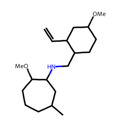 C=CC1CC(OC)CCC1CNC1CC(C)CCCC1OC